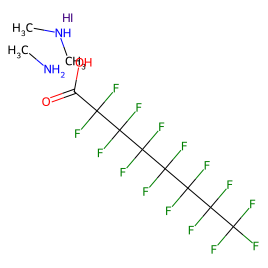 CN.CNC.I.O=C(O)C(F)(F)C(F)(F)C(F)(F)C(F)(F)C(F)(F)C(F)(F)C(F)(F)F